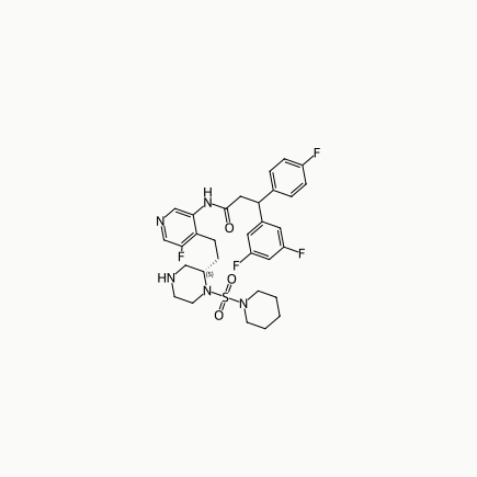 O=C(CC(c1ccc(F)cc1)c1cc(F)cc(F)c1)Nc1cncc(F)c1CC[C@H]1CNCCN1S(=O)(=O)N1CCCCC1